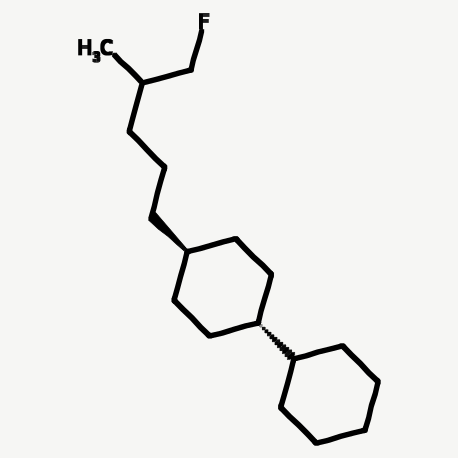 CC(CF)CCC[C@H]1CC[C@H](C2CCCCC2)CC1